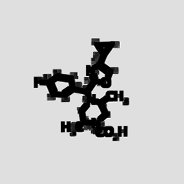 CC1CN(C(=O)O)[C@@H](C)CN1C(c1ccc(F)cc1)c1nc(C2CC2)co1